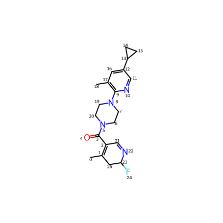 CC1=C(C(=O)N2CCN(c3ncc(C4CC4)cc3C)CC2)C=NC(F)C1